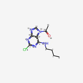 CCCCNc1nc(Cl)nc2ncn(C(C)=O)c12